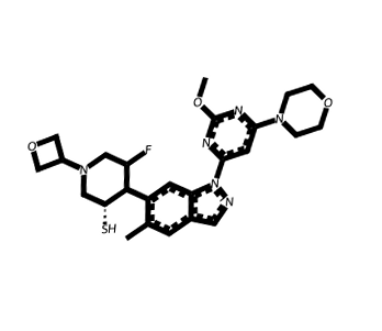 COc1nc(N2CCOCC2)cc(-n2ncc3cc(C)c(C4C(F)CN(C5COC5)C[C@H]4S)cc32)n1